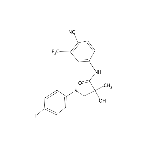 CC(O)(CSc1ccc(I)cc1)C(=O)Nc1ccc(C#N)c(C(F)(F)F)c1